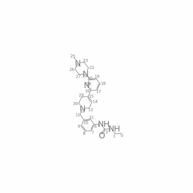 CCNC(=O)Nc1cccc(CN2CC=C(c3cccc(N4CCN(C)CC4)n3)CC2)c1